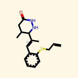 C=CCSc1ccccc1/C=C(\C)C1NNC(=O)CC1C